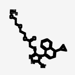 O=C(CSc1nnc(Br)n1-c1ccc(C2CC2)c2ccccc12)OCCOCCOP